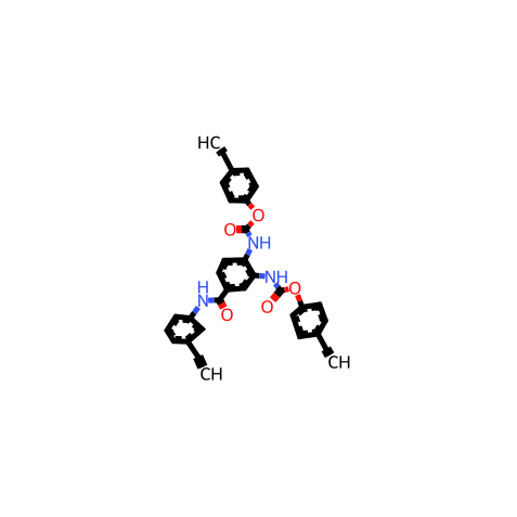 C#Cc1ccc(OC(=O)Nc2ccc(C(=O)Nc3cccc(C#C)c3)cc2NC(=O)Oc2ccc(C#C)cc2)cc1